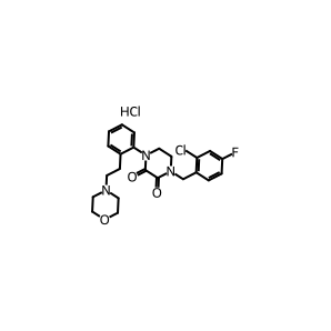 Cl.O=C1C(=O)N(c2ccccc2CCN2CCOCC2)CCN1Cc1ccc(F)cc1Cl